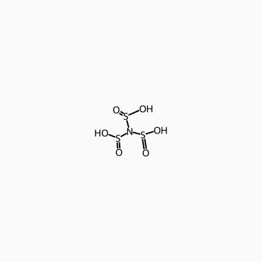 O=S(O)N(S(=O)O)S(=O)O